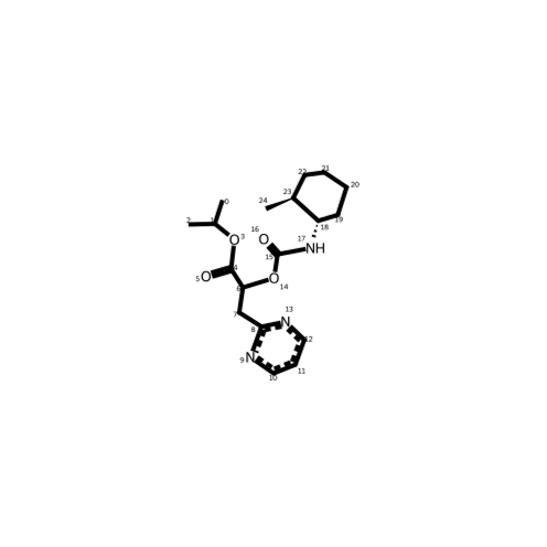 CC(C)OC(=O)C(Cc1ncccn1)OC(=O)N[C@H]1CCCC[C@@H]1C